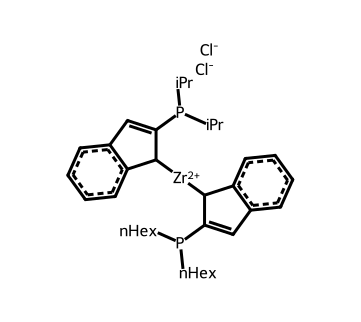 CCCCCCP(CCCCCC)C1=Cc2ccccc2[CH]1[Zr+2][CH]1C(P(C(C)C)C(C)C)=Cc2ccccc21.[Cl-].[Cl-]